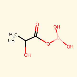 CC(O)C(=O)OB(O)O.[LiH]